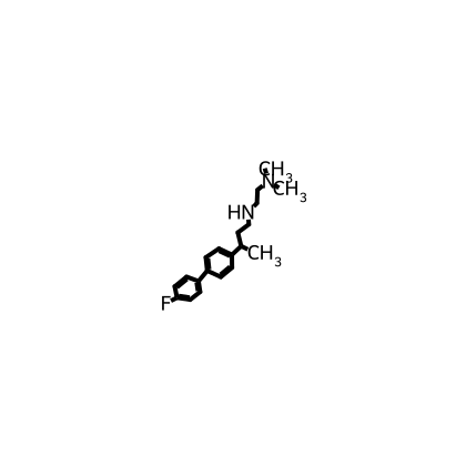 CC(CCNCCN(C)C)c1ccc(-c2ccc(F)cc2)cc1